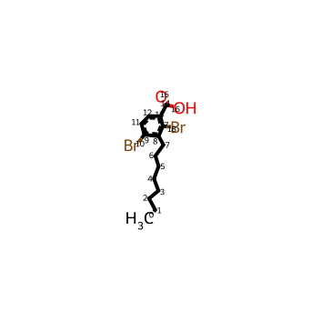 CCCCCCCCc1c(Br)ccc(C(=O)O)c1Br